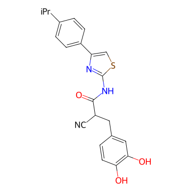 CC(C)c1ccc(-c2csc(NC(=O)C(C#N)Cc3ccc(O)c(O)c3)n2)cc1